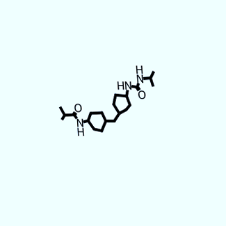 CC(C)NC(=O)NC1CCC(CC2CCC(NC(=O)C(C)C)CC2)CC1